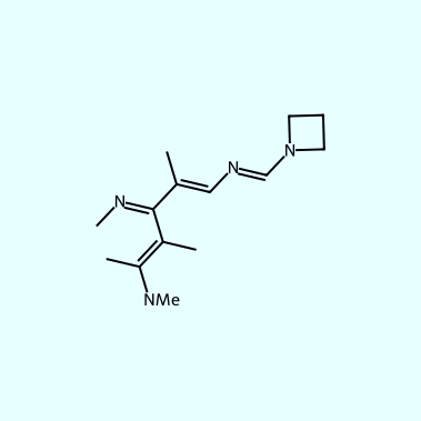 C/N=C(C(/C)=C/N=C/N1CCC1)\C(C)=C(/C)NC